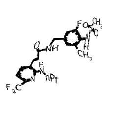 CCCNc1nc(C(F)(F)F)ccc1/C=C/C(=O)NCc1cc(C)c(NS(C)(=O)=O)c(F)c1